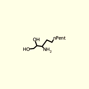 CCCCCCCC(N)C(O)CO